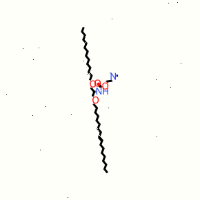 CCCCCCCCC=CCCCCCCCCOCC(COCCCCCCCCCCCCCC)NC(=O)OCCN(C)C